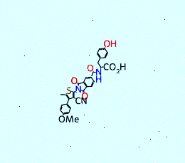 COc1ccc(-c2c(C)sc(N3C(=O)c4ccc(C(=O)N[C@@H](Cc5ccc(O)cc5)C(=O)O)cc4C3=O)c2C#N)cc1